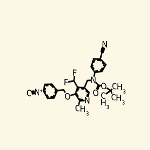 [C-]#[N+]c1ccc(COc2c(C)ncc(CN(C(=O)OC(C)(C)C)c3ccc(C#N)cc3)c2C(F)F)cc1